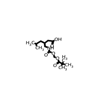 CC(C)CC(CNC(=O)OCOC(=O)C(C)(C)C)CC(=O)O